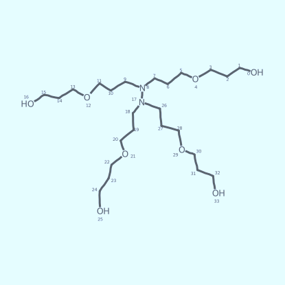 OCCCOCCCN(CCCOCCCO)N(CCCOCCCO)CCCOCCCO